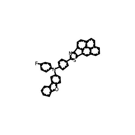 Fc1ccc(N(c2ccc(-c3nc4c(s3)-c3cc5cccc6ccc7ccc-4c3c7c65)cc2)c2ccc3oc4ccccc4c3c2)cc1